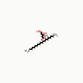 CCCCCCCCCCCC(CCCCCCCC)OC(=O)C[C@](C)(O)CCO